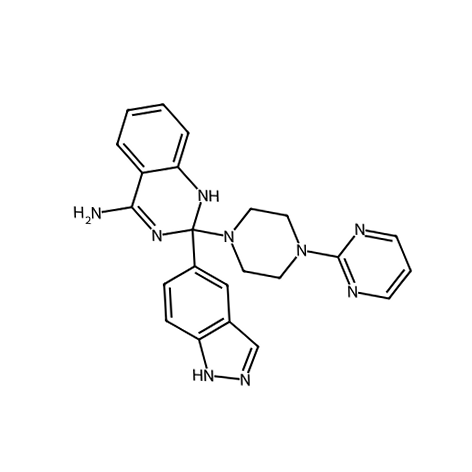 NC1=NC(c2ccc3[nH]ncc3c2)(N2CCN(c3ncccn3)CC2)Nc2ccccc21